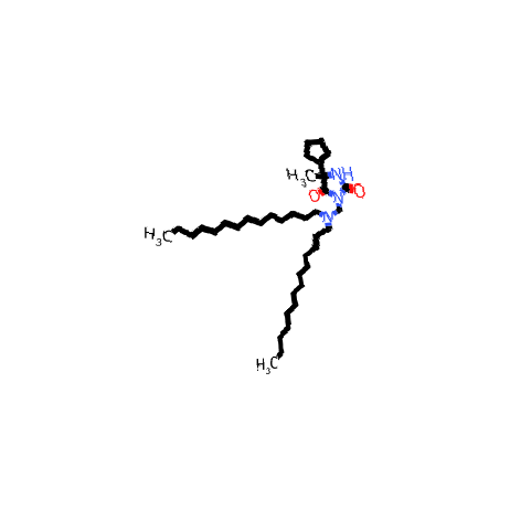 CCCCCCCCCCCCCCN(CCCCCCCCCCCCCC)CN1C(=O)NC(C)(C2CCCC2)C1=O